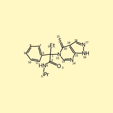 CCC(C(=O)NC(C)C)(c1ccccc1)n1cnc2[nH]ncc2c1=S